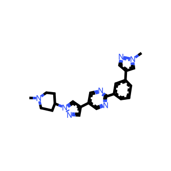 CN1CCC(n2cc(-c3cnc(-c4cccc(-c5cnn(C)c5)c4)nc3)cn2)CC1